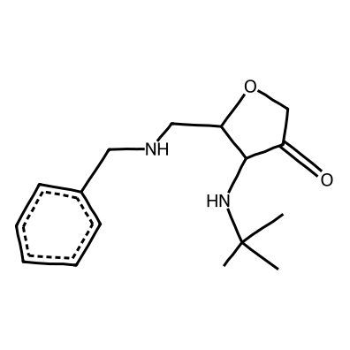 CC(C)(C)NC1C(=O)COC1CNCc1ccccc1